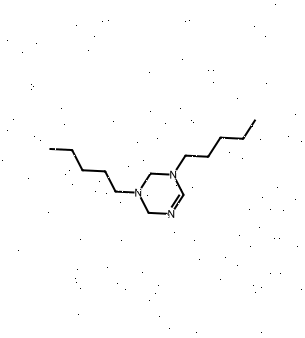 CCCCCN1C=NCN(CCCCC)C1